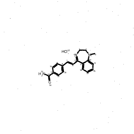 CN1CCN=C(C=Cc2ccc(C(N)=O)cc2)c2ccccc21.Cl